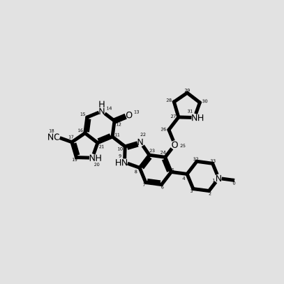 CN1CCC(c2ccc3[nH]c(-c4c(=O)[nH]cc5c(C#N)c[nH]c45)nc3c2OCC2CCCN2)CC1